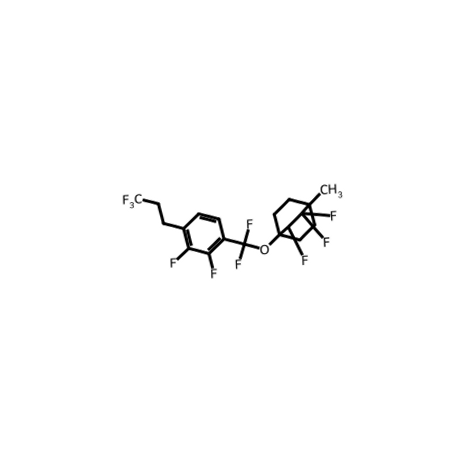 CC12CCC(OC(F)(F)c3ccc(CCC(F)(F)F)c(F)c3F)(CC1)C(F)C2(F)F